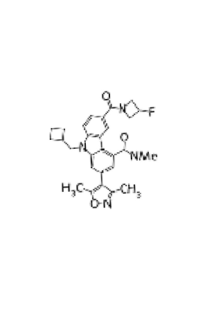 CNC(=O)c1cc(-c2c(C)noc2C)cc2c1c1cc(C(=O)N3CC(F)C3)ccc1n2CC1CCC1